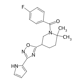 CC1(C)CCC(c2nc(-c3ccc[nH]3)no2)CN1C(=O)c1ccc(F)cc1